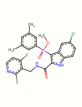 COP(=O)(c1cc(C)cc(C)c1)c1c(C(=O)NCc2c(F)ccnc2F)[nH]c2ccc(Cl)cc12